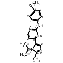 CSc1ccc(Nc2nccc(-c3cnc(C)n3C(C)C)n2)cc1